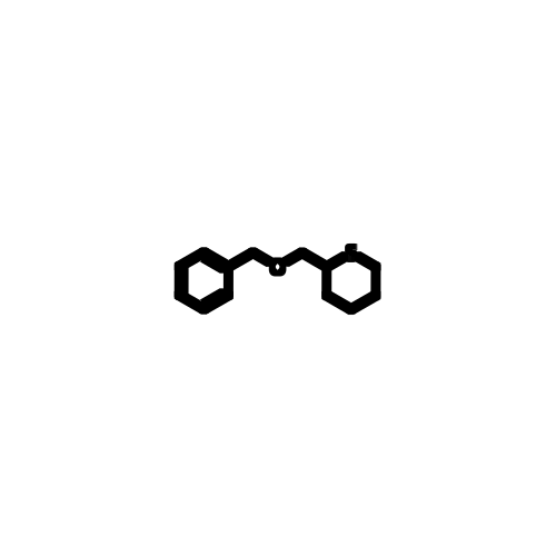 c1ccc(COCC2CCCCS2)cc1